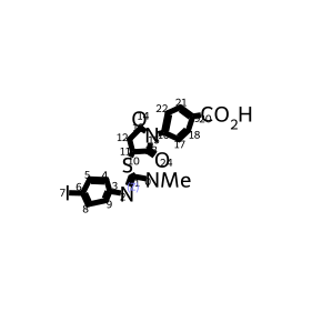 CN/C(=N/c1ccc(I)cc1)SC1CC(=O)N(c2ccc(C(=O)O)cc2)C1=O